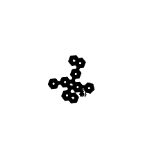 C[Si]1(C)c2ccccc2-c2cc3c(-c4ccc(-c5cccc6ccccc56)cc4)c4ccc(-c5ccccc5)cc4c(-c4cccc5ccccc45)c3cc21